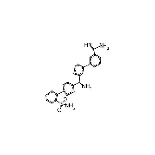 N=C(N)c1cccc(-c2cccc(C(N)c3ccc(-c4ccccc4S(N)(=O)=O)cc3)c2)c1